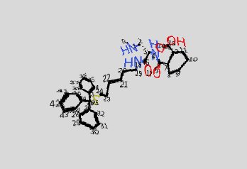 CNC[C@H](NC(=O)[C@@H]1CCCC[C@@H]1C(=O)O)C(=O)NCCCCCCSC(c1ccccc1)(c1ccccc1)c1ccccc1